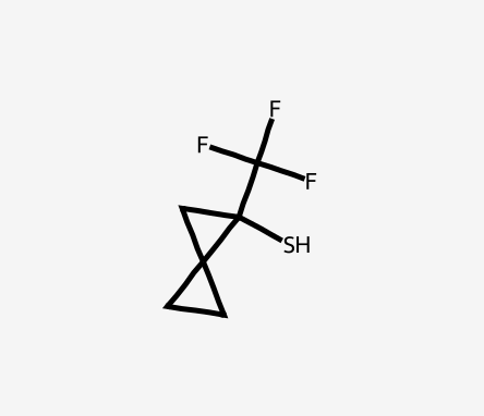 FC(F)(F)C1(S)CC12CC2